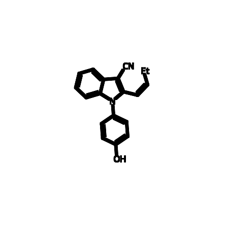 CC/C=C\c1c(C#N)c2ccccc2n1-c1ccc(O)cc1